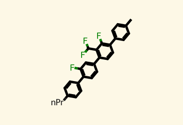 CCCc1ccc(-c2ccc(-c3ccc(-c4ccc(C)cc4)c(F)c3C(F)F)cc2F)cc1